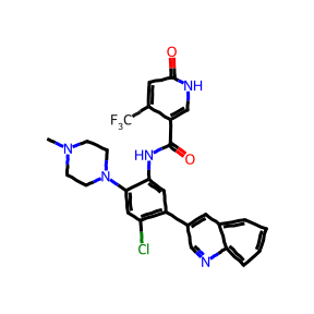 CN1CCN(c2cc(Cl)c(-c3cnc4ccccc4c3)cc2NC(=O)c2c[nH]c(=O)cc2C(F)(F)F)CC1